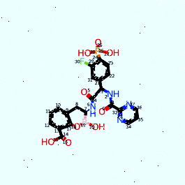 O=C(NC(C(=O)N[C@H]1Cc2cccc(C(=O)O)c2OB1O)c1ccc(P(=O)(O)O)c(F)c1)c1ncccn1